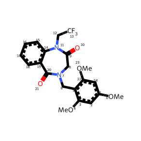 COc1cc(OC)c(CN2CC(=O)N(CC(F)(F)F)c3ccccc3C2=O)c(OC)c1